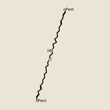 CCCCCC=CCC=CCCCCCCCCNCCOCCCCCCCCC=CCC=CCCCCC